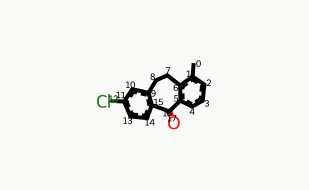 Cc1cccc2c1CCc1cc(Cl)ccc1C2=O